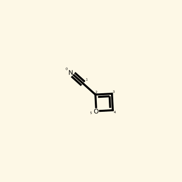 N#CC1=C=CO1